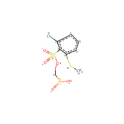 O=[PH](O)COS(=O)(=O)c1c(Cl)cccc1SC(F)(F)F